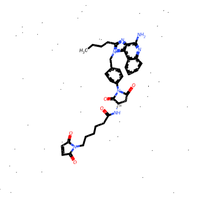 CCCCc1nc2c(N)nc3ccccc3c2n1Cc1ccc(N2C(=O)C[C@H](NC(=O)CCCCCN3C(=O)C=CC3=O)C2=O)cc1